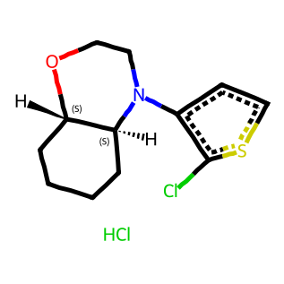 Cl.Clc1sccc1N1CCO[C@H]2CCCC[C@@H]21